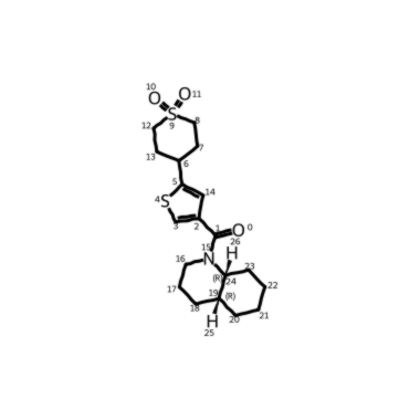 O=C(c1csc(C2CCS(=O)(=O)CC2)c1)N1CCC[C@H]2CCCC[C@H]21